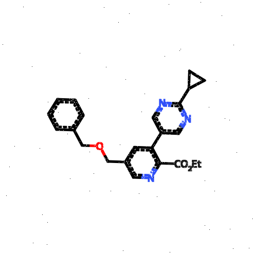 CCOC(=O)c1ncc(COCc2ccccc2)cc1-c1cnc(C2CC2)nc1